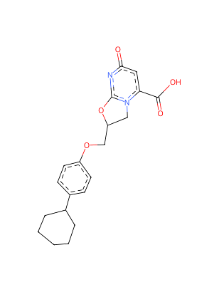 O=C(O)c1cc(=O)nc2n1CC(COc1ccc(C3CCCCC3)cc1)O2